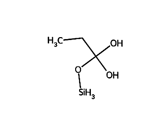 CCC(O)(O)O[SiH3]